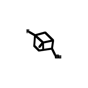 CC(C)(C)C1CCC2(F)CC1C2(C)C